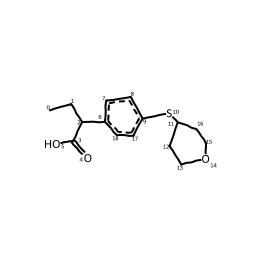 CCC(C(=O)O)c1ccc(SC2CCOCC2)cc1